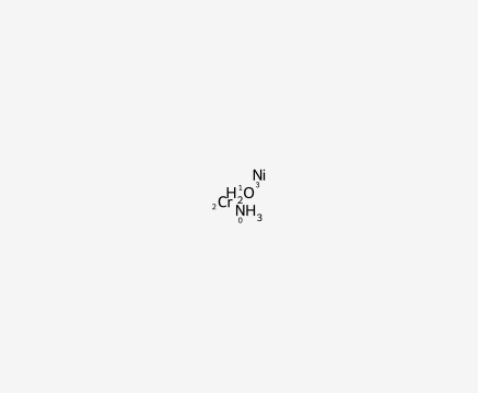 N.O.[Cr].[Ni]